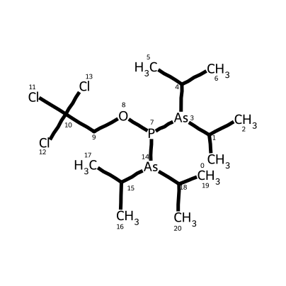 CC(C)[As](C(C)C)P(OCC(Cl)(Cl)Cl)[As](C(C)C)C(C)C